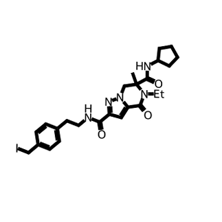 CCN1C(=O)c2cc(C(=O)NCCc3ccc(CI)cc3)nn2CC1(C)C(=O)NC1CCCC1